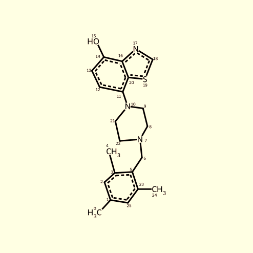 Cc1cc(C)c(CN2CCN(c3ccc(O)c4ncsc34)CC2)c(C)c1